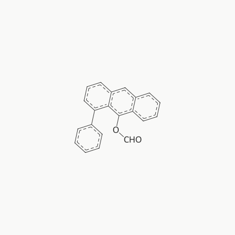 O=COc1c2ccccc2cc2cccc(-c3ccccc3)c12